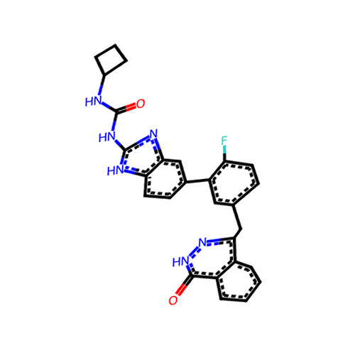 O=C(Nc1nc2cc(-c3cc(Cc4n[nH]c(=O)c5ccccc45)ccc3F)ccc2[nH]1)NC1CCC1